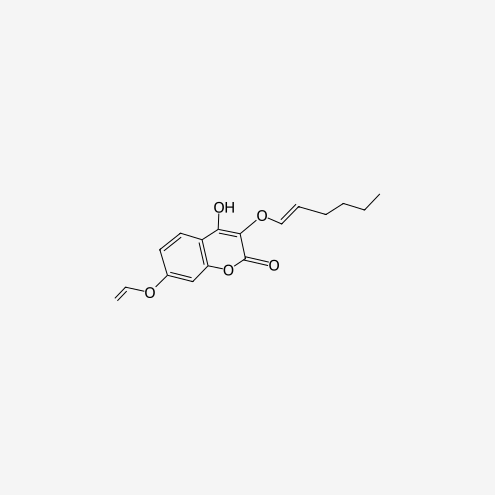 C=COc1ccc2c(O)c(O/C=C/CCCC)c(=O)oc2c1